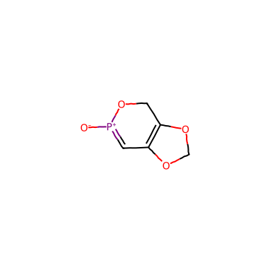 [O-][P+]1=CC2=C(CO1)OCO2